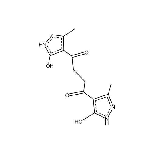 Cc1c[nH]c(O)c1C(=O)CCC(=O)c1c(C)n[nH]c1O